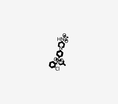 CC(C)CN(c1ccccc1Cl)S(=O)(=O)c1ccc(N2CCC(NS(C)(=O)=O)CC2)cc1